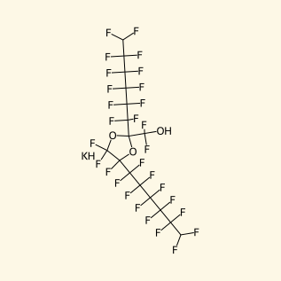 OC(F)(F)C1(C(F)(F)C(F)(F)C(F)(F)C(F)(F)C(F)(F)C(F)F)OC(F)(F)C(F)(C(F)(F)C(F)(F)C(F)(F)C(F)(F)C(F)(F)C(F)F)O1.[KH]